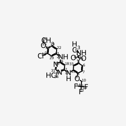 CNS(=O)(=O)c1ccc(OCC(F)(F)F)c(Nc2cc(Nc3ccc(OC)c(Cl)c3)ncn2)c1.Cl